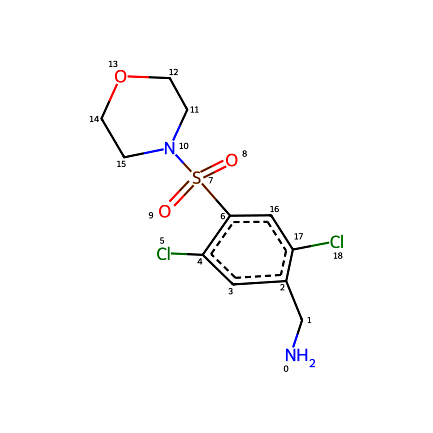 NCc1cc(Cl)c(S(=O)(=O)N2CCOCC2)cc1Cl